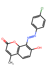 Cc1cc(=O)oc2c(N=Nc3ccc(Cl)cc3)c(O)ccc12